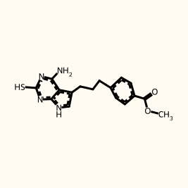 COC(=O)c1ccc(CCCc2c[nH]c3nc(S)nc(N)c23)cc1